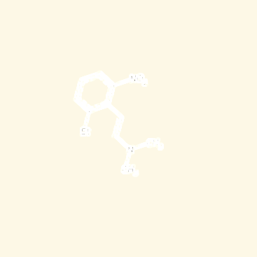 CCc1cccc([N+](=O)[O-])c1/C=C/N(C)C